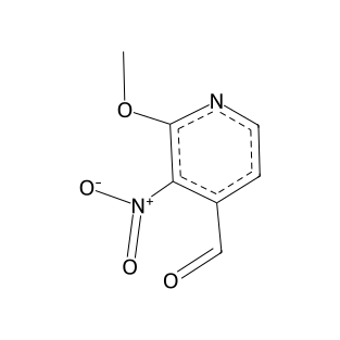 COc1nccc(C=O)c1[N+](=O)[O-]